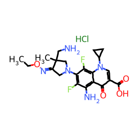 CCO/N=C1/CN(c2c(F)c(N)c3c(=O)c(C(=O)O)cn(C4CC4)c3c2F)CC1(C)CN.Cl